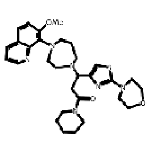 COc1ccc2cccnc2c1N1CCCN(C(CC(=O)N2CCCCC2)c2csc(N3CCOCC3)n2)CC1